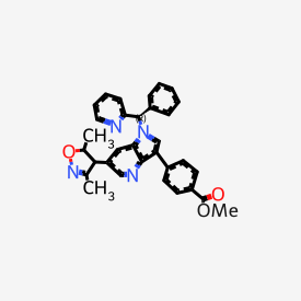 COC(=O)c1ccc(-c2cn([C@H](c3ccccc3)c3ccccn3)c3cc(C4C(C)=NOC4C)cnc23)cc1